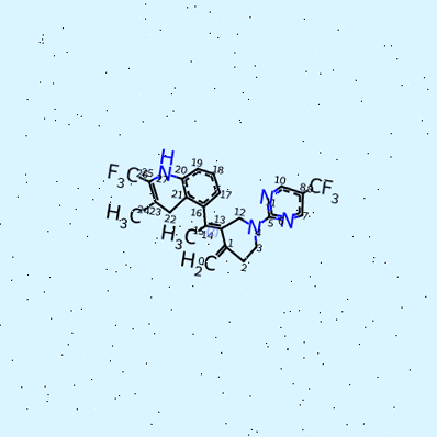 C=C1CCN(c2ncc(C(F)(F)F)cn2)C/C1=C(/C)c1cccc2c1CC(C)=C(C(F)(F)F)N2